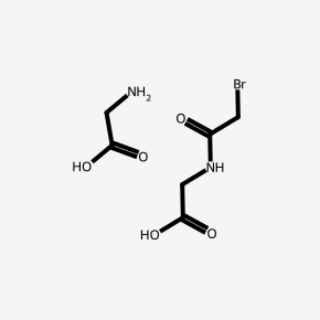 NCC(=O)O.O=C(O)CNC(=O)CBr